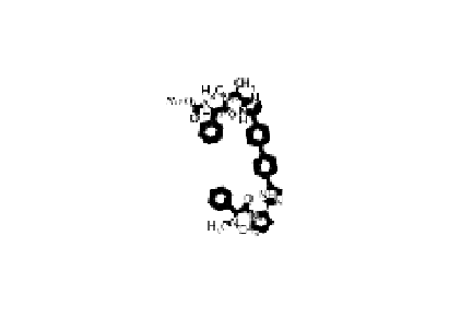 COC(=O)N[C@@H](C(=O)N(C)[C@@H](C)c1ncc(-c2ccc(-c3ccc(C4CN=C([C@@H]5CCCN5C(=O)[C@@H](c5ccccc5)N(C)C)N4)cc3)cc2)[nH]1)c1ccccc1